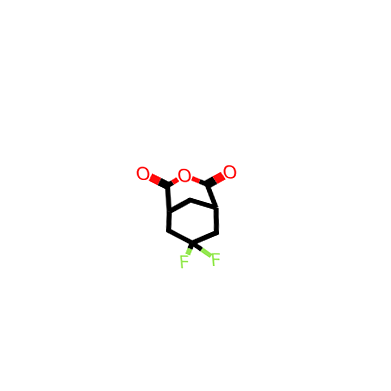 O=C1OC(=O)C2CC1CC(F)(F)C2